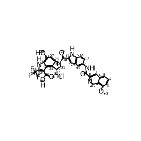 COc1cccc2cc(C(=O)Nc3ccc4[nH]c(C(=O)N5C[C@@H](CCl)c6c5cc(O)c5[nH]c(C(F)(F)F)c(C(=O)O)c65)cc4c3)ncc12